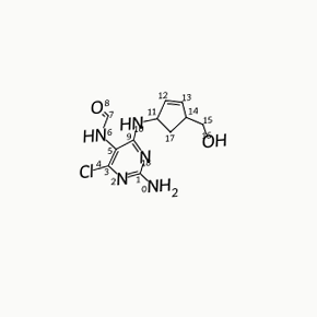 Nc1nc(Cl)c(NC=O)c(NC2C=CC(CO)C2)n1